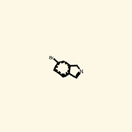 Brc1ccc2c(c1)CN=C2